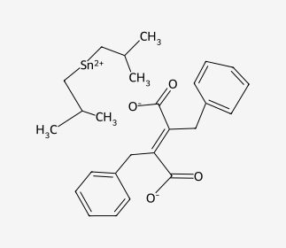 CC(C)[CH2][Sn+2][CH2]C(C)C.O=C([O-])C(Cc1ccccc1)=C(Cc1ccccc1)C(=O)[O-]